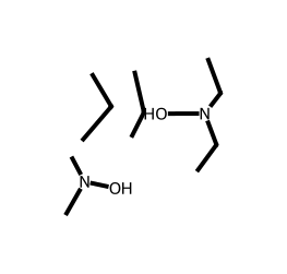 CCC.CCC.CCN(O)CC.CN(C)O